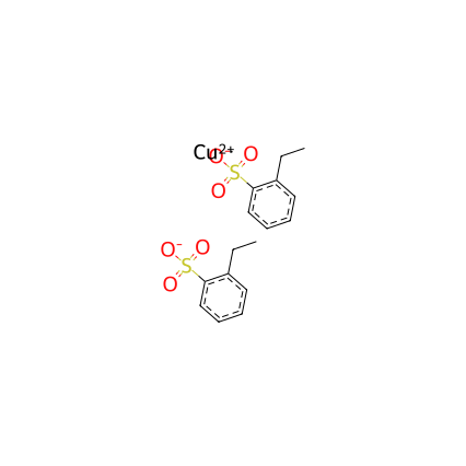 CCc1ccccc1S(=O)(=O)[O-].CCc1ccccc1S(=O)(=O)[O-].[Cu+2]